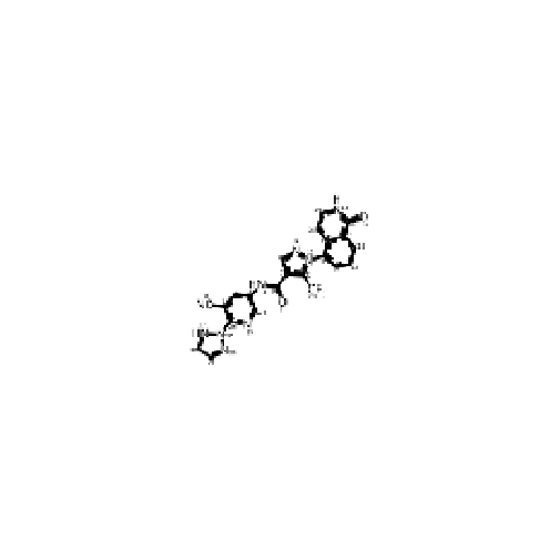 N#Cc1cc(NC(=O)c2cnn(-c3cccc4c(=O)[nH]ccc34)c2C(F)(F)F)cnc1N1N=CCN1